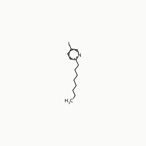 CCCCCCCCc1ccc(I)cn1